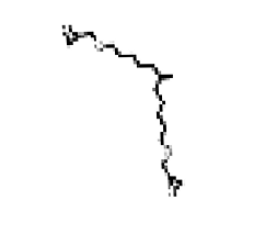 CC(CCCCCOCC1CO1)CCCCCOCC1CO1